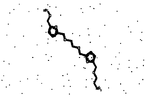 CCCOCc1ccc(COCCOCc2ccc(COCCN)o2)o1